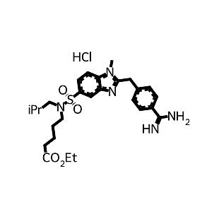 CCOC(=O)CCCCN(CC(C)C)S(=O)(=O)c1ccc2c(c1)nc(Cc1ccc(C(=N)N)cc1)n2C.Cl